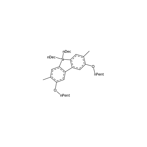 CCCCCCCCCC[Si]1(CCCCCCCCCC)c2cc(C)c(OCCCCC)cc2-c2cc(OCCCCC)c(C)cc21